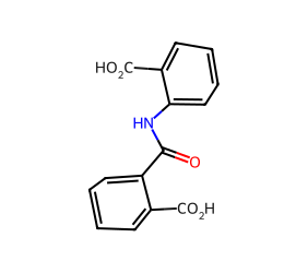 O=C(O)c1ccccc1NC(=O)c1ccccc1C(=O)O